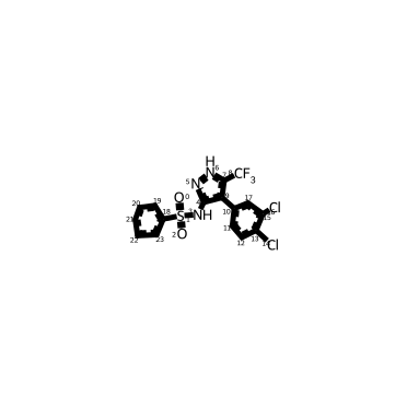 O=S(=O)(Nc1n[nH]c(C(F)(F)F)c1-c1ccc(Cl)c(Cl)c1)c1ccccc1